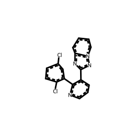 Clc1ccc(Cl)c(-c2ncccc2-c2nc3ccccn3n2)c1